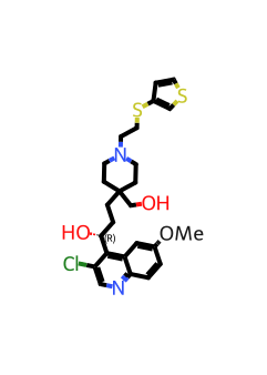 COc1ccc2ncc(Cl)c([C@H](O)CCC3(CO)CCN(CCSc4ccsc4)CC3)c2c1